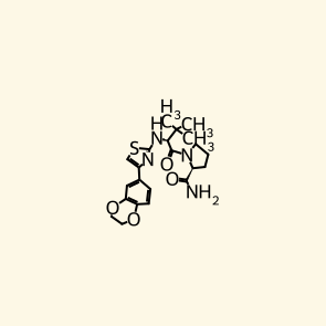 CC(C)(C)[C@H](Nc1nc(-c2ccc3c(c2)OCCO3)cs1)C(=O)N1CCC[C@H]1C(N)=O